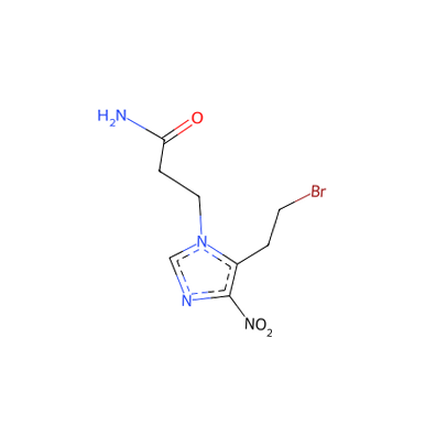 NC(=O)CCn1cnc([N+](=O)[O-])c1CCBr